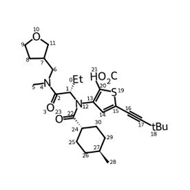 CC[C@@H](C(=O)N(C)CC1CCOC1)N(c1cc(C#CC(C)(C)C)sc1C(=O)O)C(=O)[C@H]1CC[C@H](C)CC1